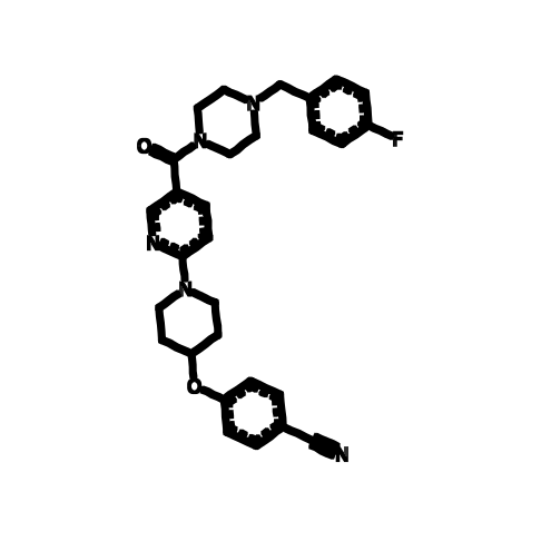 N#Cc1ccc(OC2CCN(c3ccc(C(=O)N4CCN(Cc5ccc(F)cc5)CC4)cn3)CC2)cc1